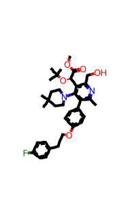 COC(=O)[C@@H](OC(C)(C)C)c1c(CO)nc(C)c(-c2ccc(OCCc3ccc(F)cc3)cc2)c1N1CCC(C)(C)CC1